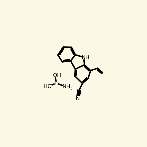 C=Cc1cc(C#N)cc2c1[nH]c1ccccc12.NP(O)O